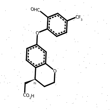 O=Cc1cc(C(F)(F)F)ccc1Oc1ccc2c(c1)OCC[C@H]2CC(=O)O